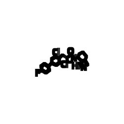 O=C1[C@H](Cc2c(Cl)cc(-c3ccc(F)cc3)cc2Cl)CCN1C1CCCc2cn[nH]c21